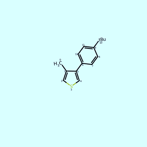 Cc1cscc1-c1ccc(C(C)(C)C)cc1